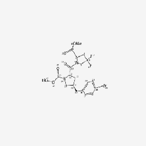 COC(=O)C1CC(F)(F)CN1C(=O)[C@@H]1C[C@@H](Cc2ccc(Br)cc2)CN1C(=O)OC(C)(C)C